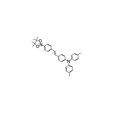 Cc1ccc(N(c2ccc(C)cc2)c2ccc(/C=C/c3ccc(N4OC(C)(C)C(C)(C)O4)cc3)cc2)cc1